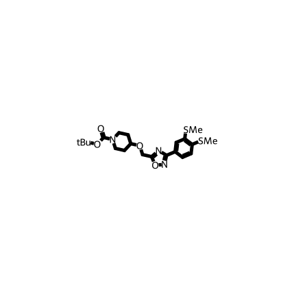 CSc1ccc(-c2noc(COC3CCN(C(=O)OC(C)(C)C)CC3)n2)cc1SC